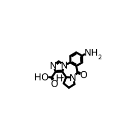 Nc1ccc2c(c1)C(=O)N1CCC[C@H]1c1c(C(=O)O)ncn1-2